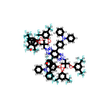 FC(F)(F)c1cc(OCC(COc2cc(C(F)(F)F)cc(C(F)(F)F)c2)(COc2cc(C(F)(F)F)cc(C(F)(F)F)c2)Cn2nc3c(-c4ccc(N(c5ccccc5)c5ccccc5)cc4)c4n[n+](CC(COc5cc(C(F)(F)F)cc(C(F)(F)F)c5)(COc5cc(C(F)(F)F)cc(C(F)(F)F)c5)COc5cc(C(F)(F)F)cc(C(F)(F)F)c5)[n-]c4c(-c4ccc(N(c5ccccc5)c5ccccc5)cc4)c3n2)cc(C(F)(F)F)c1